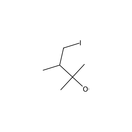 CC(CI)C(C)(C)[O]